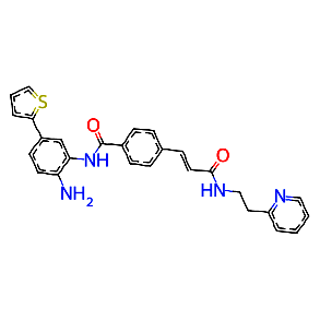 Nc1ccc(-c2cccs2)cc1NC(=O)c1ccc(C=CC(=O)NCCc2ccccn2)cc1